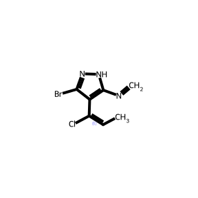 C=Nc1[nH]nc(Br)c1/C(Cl)=C\C